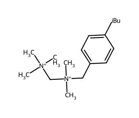 CCC(C)c1ccc(C[N+](C)(C)C[N+](C)(C)C)cc1